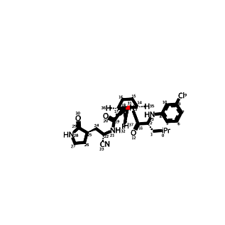 CC(C)C[C@@H](Nc1cccc(Cl)c1)C(=O)N1[C@@H]2CC[C@H]([C@H]1C(=O)N[C@H](C#N)C[C@H]1CCNC1=O)C(F)(F)C2